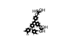 Cc1ccc(N(c2ccc(C=C(c3ccc(OC/C(O)=C\O)cc3)c3ccc(OCC(O)CO)cc3)cc2)c2ccc(C)c(C)c2)cc1C